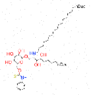 CCCCCCCCCCCCCCCCCCCCCCCCCCN[C@@H](CO[C@H]1O[C@H](COC(=S)Nc2ccccc2)[C@H](O)[C@H](O)[C@H]1O)[C@H](O)[C@H](O)CCCCCCCCCCCCCC